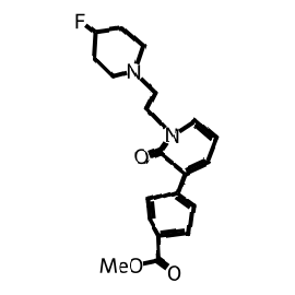 COC(=O)c1ccc(-c2cccn(CCN3CCC(F)CC3)c2=O)cc1